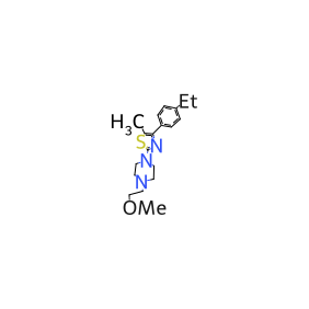 CCc1ccc(-c2nc(N3CCN(CCOC)CC3)sc2C)cc1